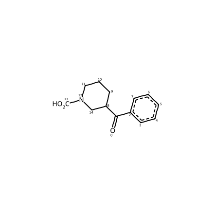 O=C(c1ccccc1)C1CCCN(C(=O)O)C1